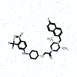 C[C@@H]1CN(C(=O)CO[C@H]2CC[C@H](Nc3ccc([N+](=O)[O-])c(C(F)(F)F)c3)CC2)C[C@H](C)N1Cc1ccc2cc(F)ccc2c1